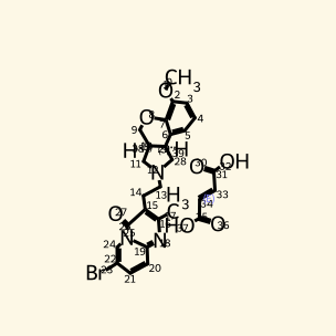 COc1cccc2c1OC[C@@H]1CN(CCc3c(C)nc4ccc(Br)cn4c3=O)C[C@H]21.O=C(O)/C=C/C(=O)O